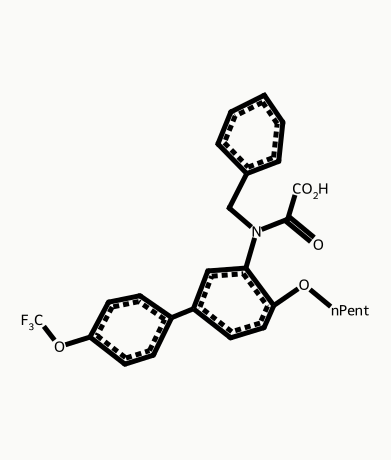 CCCCCOc1ccc(-c2ccc(OC(F)(F)F)cc2)cc1N(Cc1ccccc1)C(=O)C(=O)O